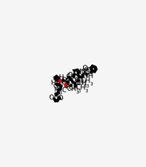 CC[C@H](C)[C@@H]([C@@H](CC(=O)N1CCCC1[C@H](OC)[C@@H](C)C(=O)N[C@@H](Cc1ccccc1)P(=O)(O)O)OC)N(C)C(=O)C(NC(=O)[C@@H]1[C@H]2CC[C@H](C2)N1C(=O)CCCCCN1C(=O)C=CC1=O)C(C)C